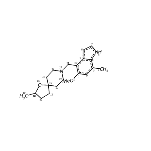 COc1cc(C)c2[nH]ccc2c1CN1CCC2(CCC(C)O2)CC1